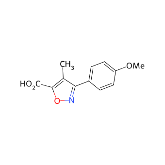 COc1ccc(-c2noc(C(=O)O)c2C)cc1